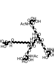 CC(=O)NC1C(=O)C(O)C(CO)OC1OCCOCCNC(=O)C(CCC(=O)NCCOCCOC1OC(CO)C(O)C(O)C1NC(C)=O)NC(=O)CCC(NC(=O)CCCCCCCCCCC(=O)NCC1CC(O)C(CO)O1)C(=O)NCCOCCOC1OC(CO)C(O)C(O)C1NC(C)=O